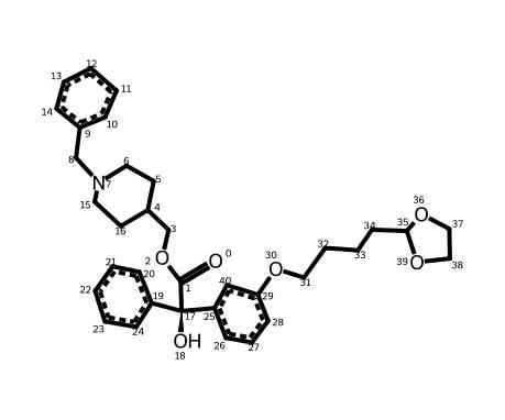 O=C(OCC1CCN(Cc2ccccc2)CC1)[C@@](O)(c1ccccc1)c1cccc(OCCCCC2OCCO2)c1